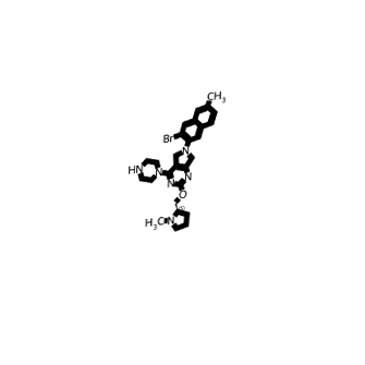 Cc1ccc2cc(N3Cc4nc(OC[C@@H]5CCCN5C)nc(N5CCNCC5)c4C3)c(Br)cc2c1